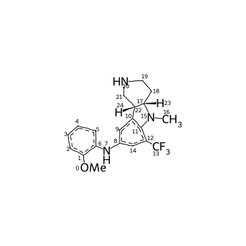 COc1ccccc1Nc1cc2c(c(C(F)(F)F)c1)N(C)[C@H]1CCNC[C@@H]21